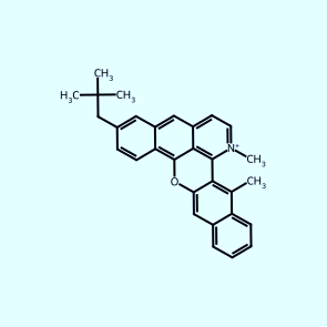 Cc1c2c(cc3ccccc13)Oc1c3ccc(CC(C)(C)C)cc3cc3cc[n+](C)c-2c13